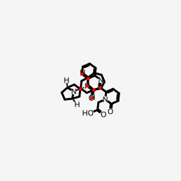 O=C(O)Cn1c(-c2nc3ccccc3n([C@H]3C[C@H]4CC[C@@H](C3)N4[C@@H]3C[C@@H]4CCCC[C@@H](C4)C3)c2=O)cccc1=O